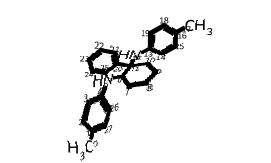 Cc1ccc(NC2CCCCC2(Nc2ccc(C)cc2)c2ccccc2)cc1